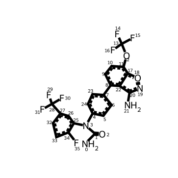 NC(=O)N(c1ccc(-c2ccc(OC(F)(F)F)c3onc(N)c23)cc1)c1cc(C(F)(F)F)ccc1F